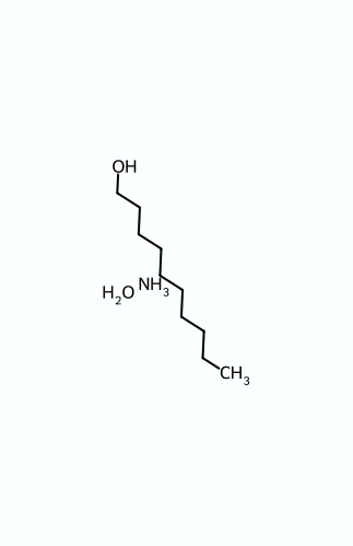 CCCCCCCCCCO.N.O